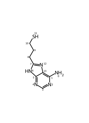 Nc1ncnc2[nH]c(CCCS)nc12